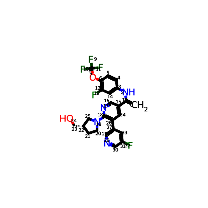 C=C(Nc1ccc(OC(F)(F)F)c(F)c1)c1cnc(N2CC[C@H](CO)C2)c(-c2cncc(F)c2)c1